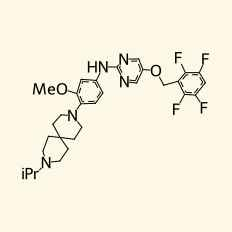 COc1cc(Nc2ncc(OCc3c(F)c(F)cc(F)c3F)cn2)ccc1N1CCC2(CC1)CCN(C(C)C)CC2